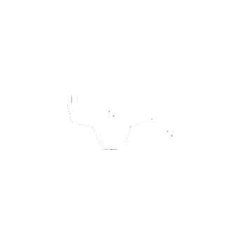 NCc1nc(CO)co1